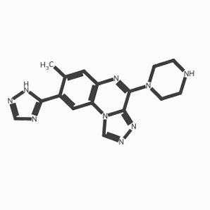 Cc1cc2nc(N3CCNCC3)c3nncn3c2cc1-c1ncn[nH]1